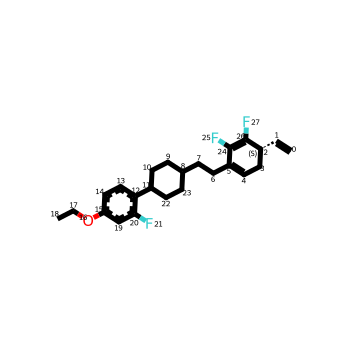 C=C[C@@H]1CC=C(CCC2CCC(c3ccc(OCC)cc3F)CC2)C(F)=C1F